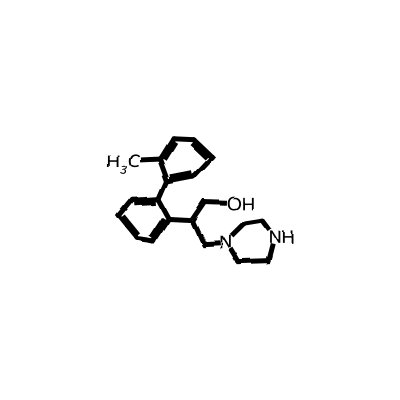 Cc1ccccc1-c1ccccc1C(CO)CN1CCNCC1